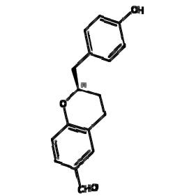 O=Cc1ccc2c(c1)CC[C@H](Cc1ccc(O)cc1)O2